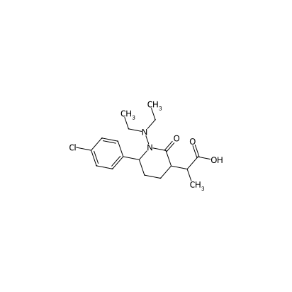 CCN(CC)N1C(=O)C(C(C)C(=O)O)CCC1c1ccc(Cl)cc1